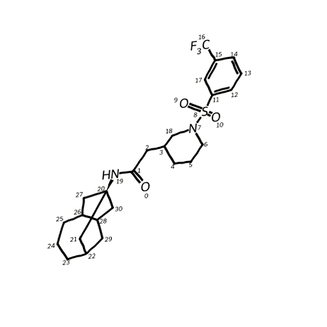 O=C(CC1CCCN(S(=O)(=O)c2cccc(C(F)(F)F)c2)C1)N[C@@]12CC3CCCC(C1)C(C3)C2